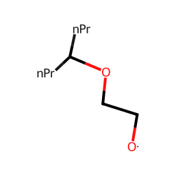 CCCC(CCC)OCC[O]